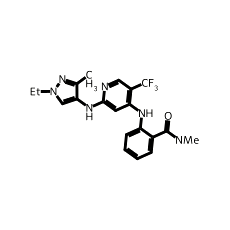 CCn1cc(Nc2cc(Nc3ccccc3C(=O)NC)c(C(F)(F)F)cn2)c(C)n1